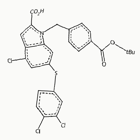 CC(C)(C)OC(=O)c1ccc(Cn2c(C(=O)O)cc3c(Cl)cc(Sc4ccc(Cl)c(Cl)c4)cc32)cc1